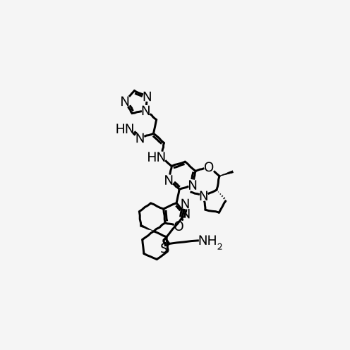 C[C@H](Oc1cc(N/C=C(/Cn2cncn2)N=N)nc(-c2noc3c2CCC[C@@]32CCCc3sc(N)c(C#N)c32)n1)[C@@H]1CCCN1C